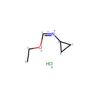 CCO/C=N\C1CC1.Cl